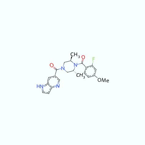 COc1ccc(C(=O)N2[C@H](C)CN(C(=O)c3cnc4cc[nH]c4c3)C[C@H]2C)c(F)c1